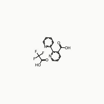 O=C(O)C(F)(F)F.O=C(O)c1cccnc1-c1ccccn1